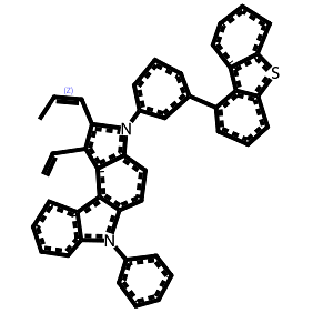 C=Cc1c(/C=C\C)n(-c2cccc(-c3cccc4sc5ccccc5c34)c2)c2ccc3c(c4ccccc4n3-c3ccccc3)c12